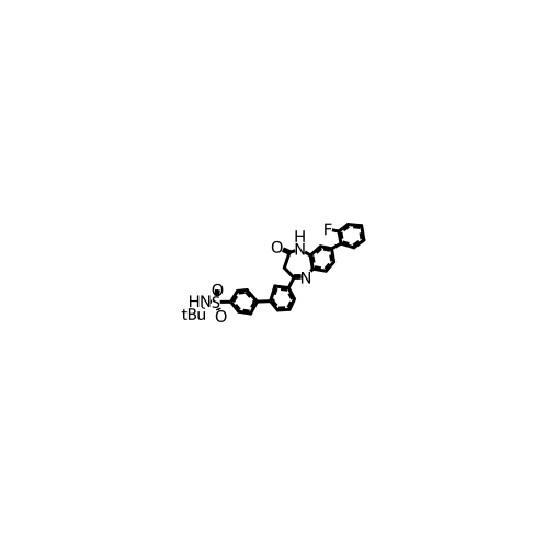 CC(C)(C)NS(=O)(=O)c1ccc(-c2cccc(C3=Nc4ccc(-c5ccccc5F)cc4NC(=O)C3)c2)cc1